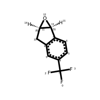 FC(F)(F)c1ccc2c(c1)C[C@H]1O[C@@H]21